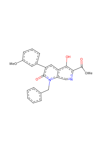 COC(=O)c1ncc2c(cc(-c3cccc(OC)c3)c(=O)n2Cc2ccccc2)c1O